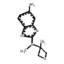 CN(c1nc2cc(N)ccc2o1)C1(C)COC1